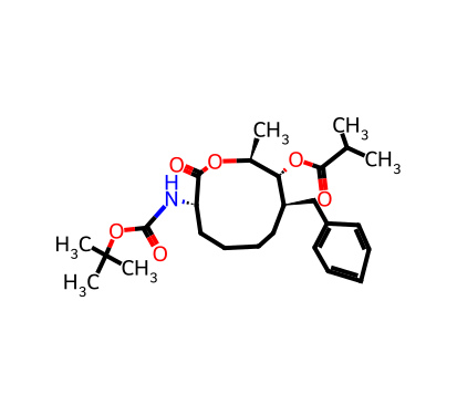 CC(C)C(=O)O[C@@H]1[C@@H](Cc2ccccc2)CCCC[C@H](NC(=O)OC(C)(C)C)C(=O)O[C@H]1C